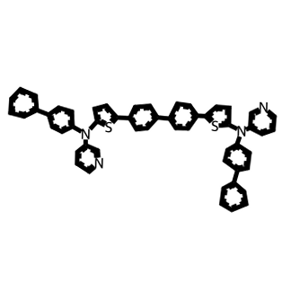 c1ccc(-c2ccc(N(c3cccnc3)c3ccc(-c4ccc(-c5ccc(-c6ccc(N(c7ccc(-c8ccccc8)cc7)c7cccnc7)s6)cc5)cc4)s3)cc2)cc1